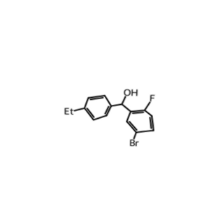 CCc1ccc(C(O)c2cc(Br)ccc2F)cc1